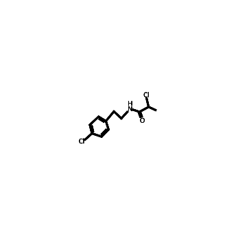 CC(Cl)C(=O)NCCc1ccc(Cl)cc1